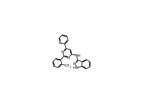 FC(F)(F)c1ccccc1-c1nc(Nc2n[nH]c3ccccc23)cc(-c2ccccn2)n1